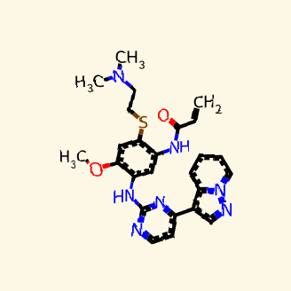 C=CC(=O)Nc1cc(Nc2nccc(-c3cnn4ccccc34)n2)c(OC)cc1SCCN(C)C